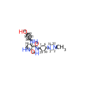 CN1CCN(c2ccc(NC(=O)c3c(NC45CCC(O)(CC4)CC5)cc[nH]c3=O)cc2)CC1